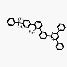 Cc1c(-c2ccc(C(C)(C)c3ccccc3)cc2)cccc1-c1cccc(-c2nc(-c3ccccc3)cc(-c3ccccc3)n2)c1